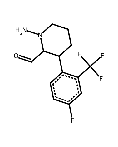 NN1CCCC(c2ccc(F)cc2C(F)(F)F)C1C=O